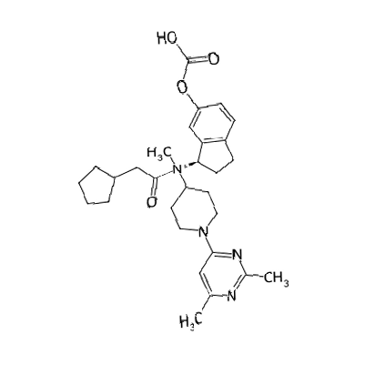 Cc1cc(N2CCC([N+](C)(C(=O)CC3CCCC3)[C@@H]3CCc4ccc(OC(=O)O)cc43)CC2)nc(C)n1